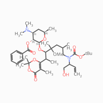 C=CC(CO)N(CC(C)CC(C)(OC)C(O[C@@H]1O[C@H](C)C[C@H](N(C)C)[C@H]1OC(=O)c1ccccc1)C(C)C1=C(C)C(=O)OC(C)(C)O1)C(=O)OC(C)(C)C